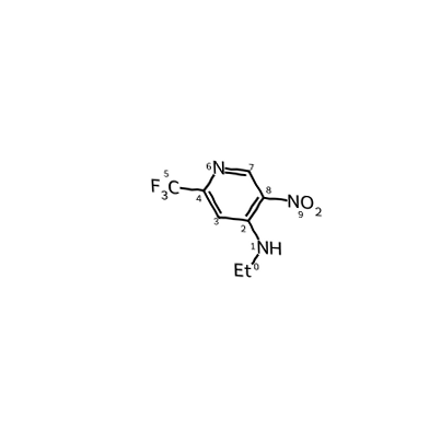 CCNc1cc(C(F)(F)F)ncc1[N+](=O)[O-]